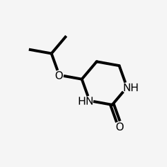 CC(C)OC1CCNC(=O)N1